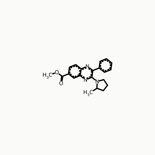 COC(=O)c1ccc2nc(-c3ccccc3)c(N3CCCC3C)nc2c1